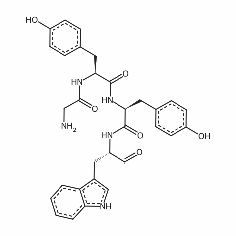 NCC(=O)N[C@@H](Cc1ccc(O)cc1)C(=O)N[C@@H](Cc1ccc(O)cc1)C(=O)N[C@H]([C]=O)Cc1c[nH]c2ccccc12